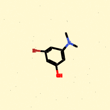 CN(C)c1cc(O)cc(Br)c1